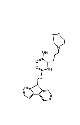 O=C(N[C@@H](CCCN1CCOCC1)C(=O)O)OCC1c2ccccc2-c2ccccc21